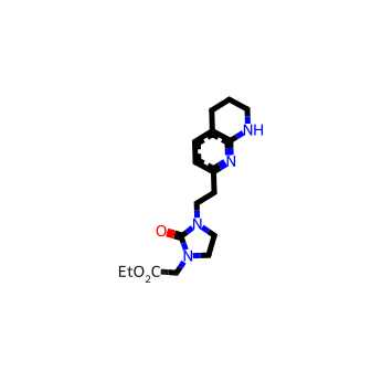 CCOC(=O)CN1CCN(CCc2ccc3c(n2)NCCC3)C1=O